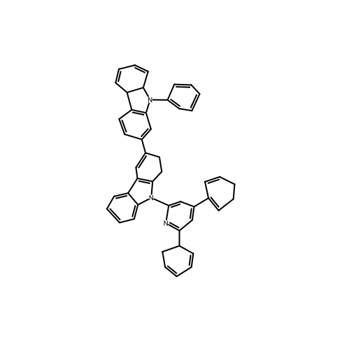 C1=CCC(c2cc(C3=CCCC=C3)cc(-n3c4c(c5ccccc53)C=C(c3ccc5c(c3)N(c3ccccc3)C3C=CC=CC53)CC4)n2)C=C1